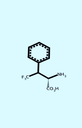 N[C@H](C(=O)O)C(c1ccccc1)C(F)(F)F